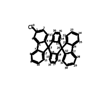 Clc1ccc2c(c1)-c1ccccc1C21c2ccccc2C2(c3ccccc3-c3ccccc32)c2ccccc21